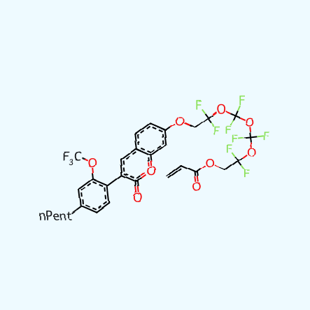 C=CC(=O)OCC(F)(F)OC(F)(F)OC(F)(F)OC(F)(F)COc1ccc2cc(-c3ccc(CCCCC)cc3OC(F)(F)F)c(=O)oc2c1